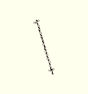 CCCNC(=O)CCOCCOCCOCCOCCOCCOCCOCCOCCOCCOCCOCCOCCNC(C)=O